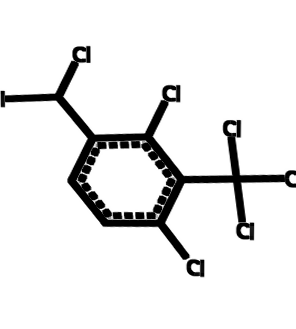 Clc1ccc(C(Cl)Cl)c(Cl)c1C(Cl)(Cl)Cl